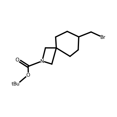 CC(C)(C)OC(=O)N1CC2(CCC(CBr)CC2)C1